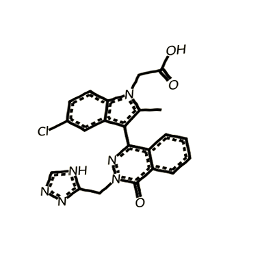 Cc1c(-c2nn(Cc3nnc[nH]3)c(=O)c3ccccc23)c2cc(Cl)ccc2n1CC(=O)O